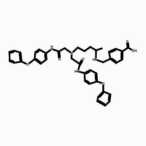 CC(CCCN(CC(=O)Nc1ccc(Oc2ccccc2)cc1)CC(=O)Nc1ccc(Oc2ccccc2)cc1)NCc1ccc(C(=O)O)cc1